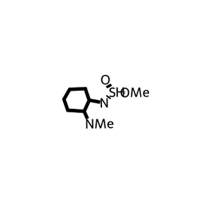 CNC1CCCCC1N=[SH](=O)OC